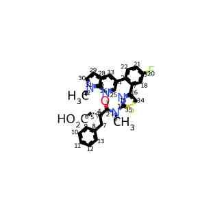 CN(C(=O)[C@@H](CC(=O)O)Cc1ccccc1)c1nc(-c2cc(F)ccc2-c2cnc3c(ccn3C)c2)cs1